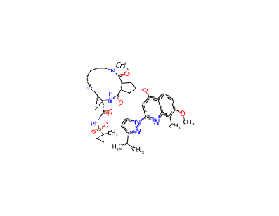 COc1ccc2c(OC3CC4C(=O)NC5(C(=O)NS(=O)(=O)C6(C)CC6)CC5/C=C\CCCCN(C)C(=O)C4C3)cc(-n3ccc(C(C)C)n3)nc2c1C